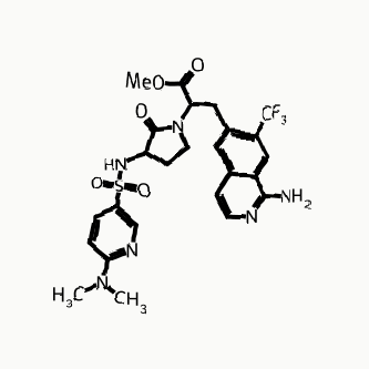 COC(=O)C(Cc1cc2ccnc(N)c2cc1C(F)(F)F)N1CCC(NS(=O)(=O)c2ccc(N(C)C)nc2)C1=O